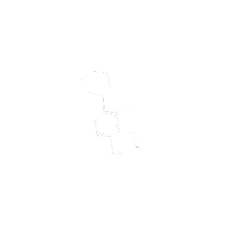 CC(=O)/C=C(/C)c1ccc(C2CCCCC2)c(Br)c1